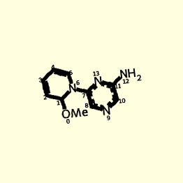 COC1C=CC=CN1c1cncc(N)n1